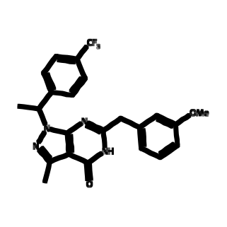 COc1cccc(Cc2nc3c(c(C)nn3C(C)c3ccc(C(F)(F)F)cc3)c(=O)[nH]2)c1